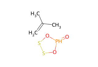 C=C(C)C.O=[PH]1OSSO1